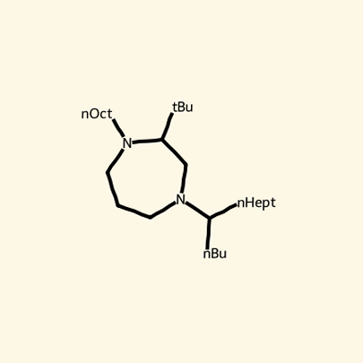 CCCCCCCCN1CCCN(C(CCCC)CCCCCCC)CC1C(C)(C)C